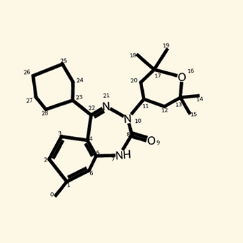 Cc1ccc2c(c1)NC(=O)N(C1CC(C)(C)OC(C)(C)C1)N=C2C1CCCCC1